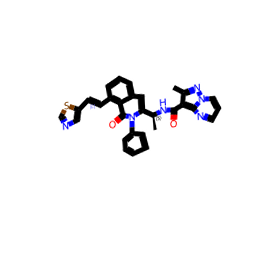 Cc1nn2cccnc2c1C(=O)N[C@@H](C)c1cc2cccc(/C=C/c3cncs3)c2c(=O)n1-c1ccccc1